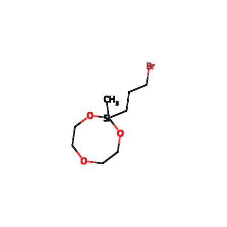 C[Si]1(CCCBr)OCCOCCO1